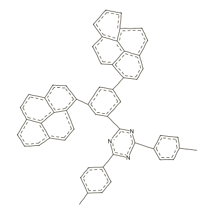 Cc1ccc(-c2nc(-c3ccc(C)cc3)nc(-c3cc(-c4ccc5ccc6cccc7ccc4c5c67)cc(-c4ccc5ccc6cccc7ccc4c5c67)c3)n2)cc1